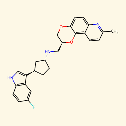 Cc1ccc2c3c(ccc2n1)OC[C@H](CN[C@@H]1CC[C@@H](c2c[nH]c4ccc(F)cc24)C1)O3